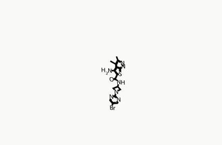 Cc1nnc2sc(C(=O)NC3CN(c4ncc(Br)cn4)C3)c(N)c2c1C